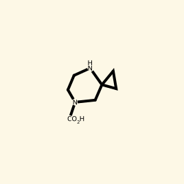 O=C(O)N1CCNC2(CC2)C1